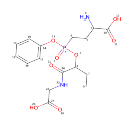 CCC(OP(=O)(CCC(N)C(=O)O)Oc1ccccc1)C(=O)NCC(=O)O